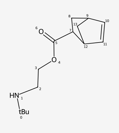 CC(C)(C)NCCOC(=O)C1CC2C=CC1C2